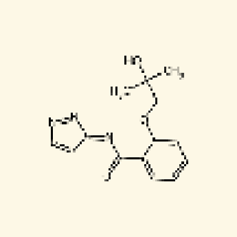 CC(C)(O)COc1ccccc1C(=O)N=C1C=CN=N1